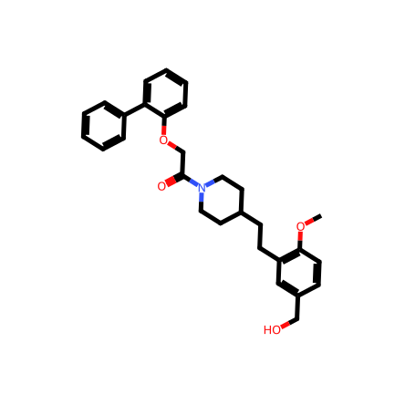 COc1ccc(CO)cc1CCC1CCN(C(=O)COc2ccccc2-c2ccccc2)CC1